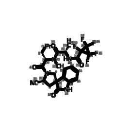 CC(C)C[C@@H](C(=O)N1C[C@]2(C[C@H]1C#N)C(=O)Nc1ccccc12)N(C)C(=O)[C@H](C)NC(=O)C1(F)C(F)(F)C1(F)F